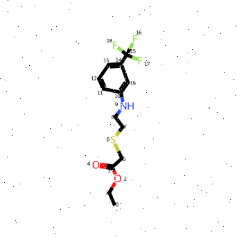 CCOC(=O)CSCCNc1cccc(C(F)(F)F)c1